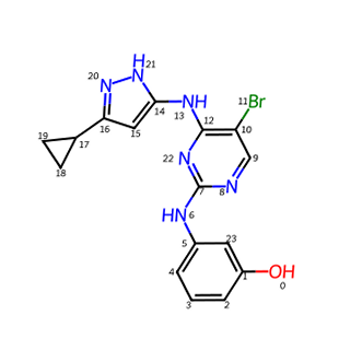 Oc1cccc(Nc2ncc(Br)c(Nc3cc(C4CC4)n[nH]3)n2)c1